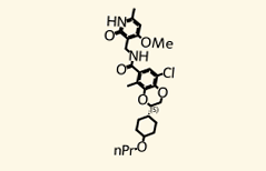 CCCOC1CCC([C@H]2COc3c(Cl)cc(C(=O)NCc4c(OC)cc(C)[nH]c4=O)c(C)c3O2)CC1